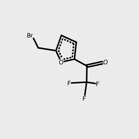 O=C(c1ccc(CBr)o1)C(F)(F)F